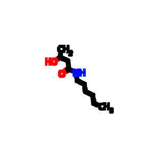 CCCCCCNC(=O)CC(C)O